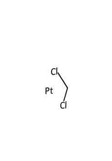 ClCCl.[Pt]